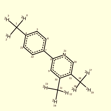 [2H]C([2H])([2H])c1ccc(-c2cc(C([2H])([2H])[2H])c(C([2H])([2H])[2H])cn2)cc1